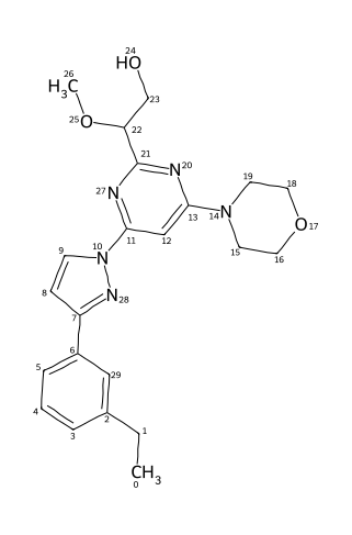 CCc1cccc(-c2ccn(-c3cc(N4CCOCC4)nc(C(CO)OC)n3)n2)c1